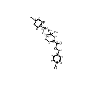 Cc1cnc(NC[C@H]2CCN(C(=O)OCc3ccc(Cl)cc3)CC2(F)F)cn1